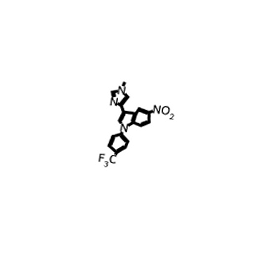 Cn1cnc(-c2cn(-c3ccc(C(F)(F)F)cc3)c3ccc([N+](=O)[O-])cc23)c1